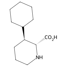 O=C(O)[C@@H]1NCCC[C@H]1C1CCCCC1